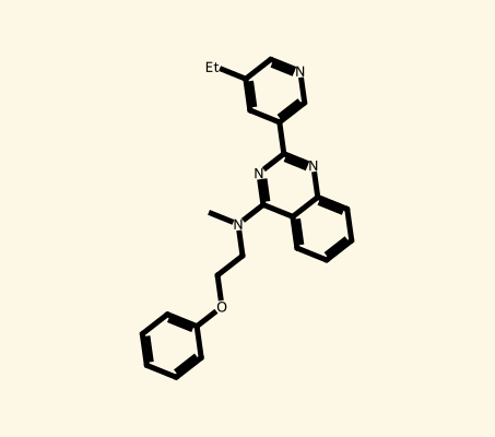 CCc1cncc(-c2nc(N(C)CCOc3ccccc3)c3ccccc3n2)c1